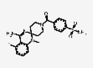 CN1c2cccc(F)c2C(N)=NC12CCN(C(=O)c1ccc(S(N)(=O)=O)cc1)CC2